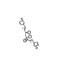 O=C(/C=C/c1ccsc1)CS(=O)(=O)/C=C/c1ccsc1